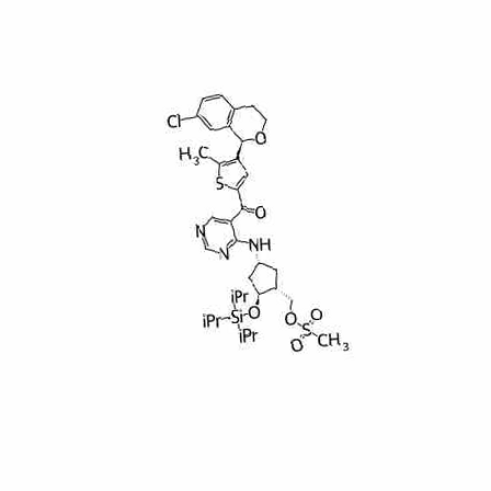 Cc1sc(C(=O)c2cncnc2N[C@@H]2C[C@H](COS(C)(=O)=O)[C@@H](O[Si](C(C)C)(C(C)C)C(C)C)C2)cc1[C@@H]1OCCc2ccc(Cl)cc21